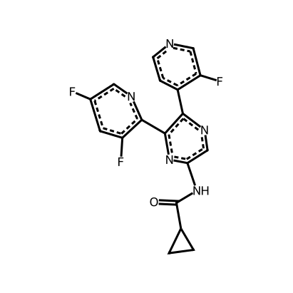 O=C(Nc1cnc(-c2ccncc2F)c(-c2ncc(F)cc2F)n1)C1CC1